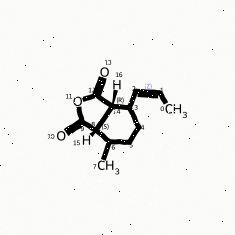 C/C=C\C1CCC(C)[C@@H]2C(=O)OC(=O)[C@H]12